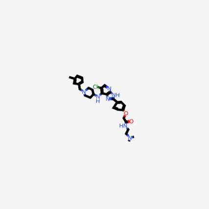 Cc1cccc(CN2CCC(Nc3c(Cl)cnc4[nH]c(-c5ccc(OCC(=O)NCCN(C)C)cc5)nc34)CC2)c1